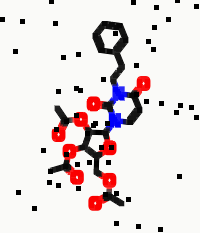 CC(=O)OCC1OC(n2ccc(=O)n(CCc3ccccc3)c2=O)C(OC(C)=O)C1OC(C)=O